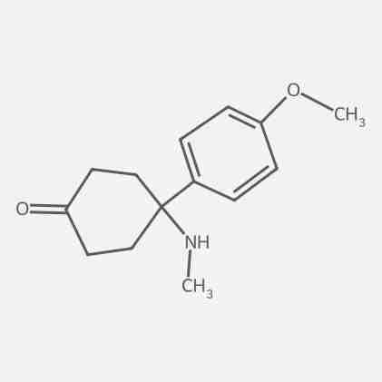 CNC1(c2ccc(OC)cc2)CCC(=O)CC1